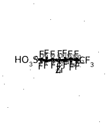 O=S(=O)(O)C(F)(F)C(F)(F)C(F)(F)C(F)(F)C(F)(F)C(F)(F)C(F)(F)C(F)(F)F.[Zr]